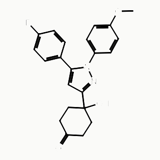 COc1ccc(-n2nc(C3(O)CCC(=O)CC3)cc2-c2ccc(F)cc2)cc1